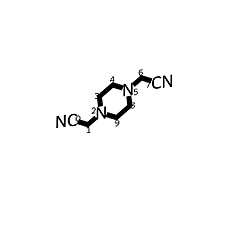 N#CCN1CCN(CC#N)CC1